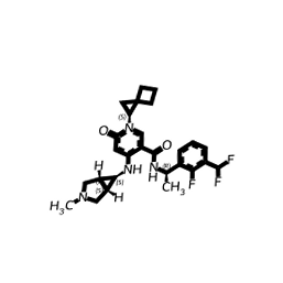 C[C@@H](NC(=O)c1cn([C@H]2CC23CCC3)c(=O)cc1N[C@H]1[C@@H]2CN(C)C[C@@H]21)c1cccc(C(F)F)c1F